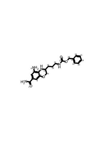 NC(=O)c1cc(N)c2c(c1)OCC(CCCNC(=O)OCc1ccccc1)N2